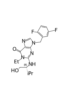 CCn1c(N[C@@H](CO)C(C)C)nc2c(ncn2Cc2cc(F)ccc2F)c1=O